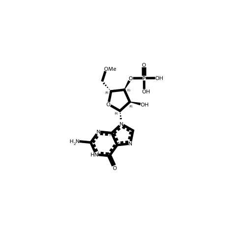 COC[C@H]1O[C@@H](n2cnc3c(=O)[nH]c(N)nc32)[C@H](O)[C@@H]1OP(=O)(O)O